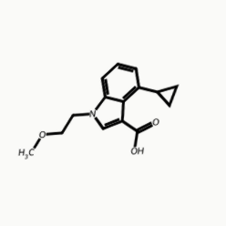 COCCn1cc(C(=O)O)c2c(C3CC3)cccc21